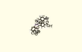 O=C(O)c1ccc(C(=O)/C(=C\c2ccc(Cl)c([N+](=O)[O-])c2)S(=O)(=O)Cc2ccc(Br)cc2)cc1